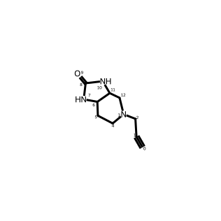 C#CCN1CCC2NC(=O)NC2C1